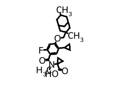 CC1CC2CC(C1)CC(C)(COc1cc(F)c(C(=O)N(C)C3(C(=O)O)CC3)cc1C1CC1)C2